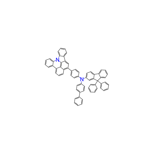 c1ccc(-c2ccc(N(c3ccc(-c4cc5c6ccccc6n6c7ccccc7c7cccc4c7c56)cc3)c3ccc4c(c3)C(c3ccccc3)(c3ccccc3)c3ccccc3-4)cc2)cc1